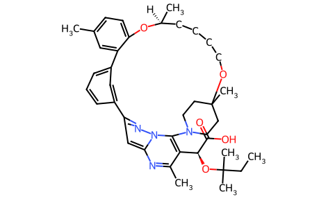 CCC(C)(C)O[C@H](C(=O)O)c1c(C)nc2cc3nn2c1N1CCC(C)(CC1)OCCCC[C@H](C)Oc1ccc(C)cc1-c1cccc-3c1